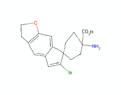 NC1(C(=O)O)CCC2(CC1)C(Br)=Cc1cc3c(cc12)OCC3